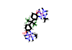 CN(C)P(N(C)C)(N(C)c1cc(C(c2ccc(O)c(N(C)P(N(C)C)(N(C)C)=[N+](C)C(C)(C)C)c2)(C(F)(F)F)C(F)(F)F)ccc1O)=[N+](C)C(C)(C)C